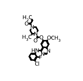 C=CC(=O)N1CCN(C(=O)Oc2cc3c(Nc4cccc(Cl)c4F)ncnc3cc2OC)[C@H](C)C1